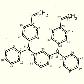 C=Cc1ccc(N(c2ccccc2)c2cccc(N(c3ccccc3)c3ccc(C=C)cc3)c2)cc1